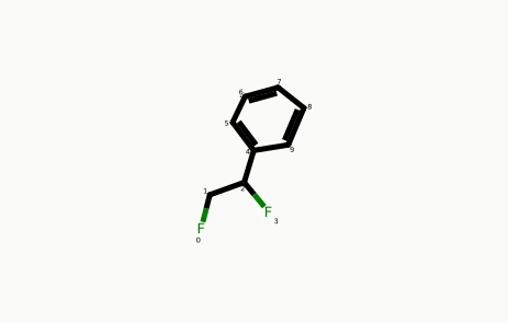 FCC(F)c1c[c]ccc1